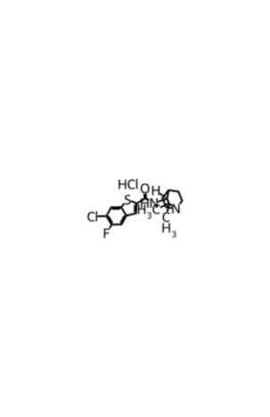 CC1(C)[C@H](NC(=O)c2cc3cc(F)c(Cl)cc3s2)C2CCN1CC2.Cl